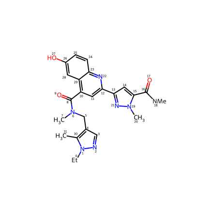 CCn1ncc(CN(C)C(=O)c2cc(-c3cc(C(=O)NC)n(C)n3)nc3ccc(O)cc23)c1C